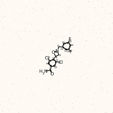 NC(=O)c1cc(Cl)c(C2CN(Cc3cc(F)cc(F)c3)O2)c(Cl)c1